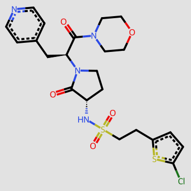 O=C([C@H](Cc1ccncc1)N1CC[C@H](NS(=O)(=O)CCc2ccc(Cl)s2)C1=O)N1CCOCC1